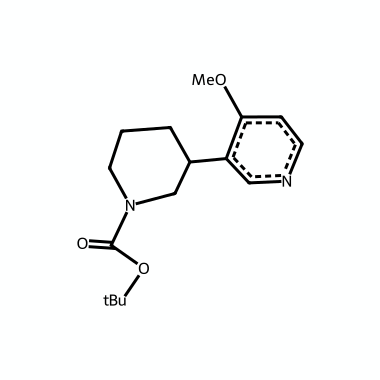 COc1ccncc1C1CCCN(C(=O)OC(C)(C)C)C1